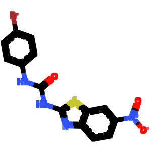 O=C(Nc1ccc(Br)cc1)Nc1nc2ccc([N+](=O)[O-])cc2s1